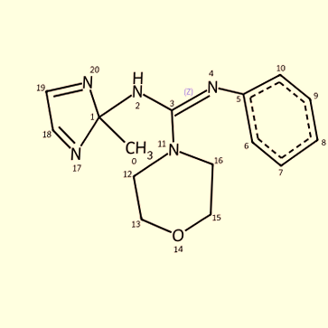 CC1(N/C(=N/c2ccccc2)N2CCOCC2)N=CC=N1